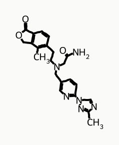 Cc1ncn(-c2ccc(CN(CCc3ccc4c(c3C)COC4=O)CC(N)=O)cn2)n1